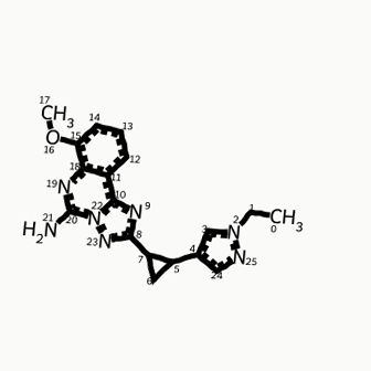 CCn1cc(C2CC2c2nc3c4cccc(OC)c4nc(N)n3n2)cn1